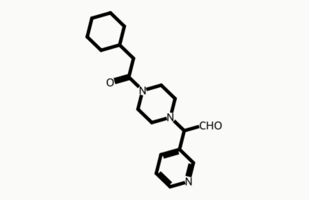 O=CC(c1cccnc1)N1CCN(C(=O)CC2CCCCC2)CC1